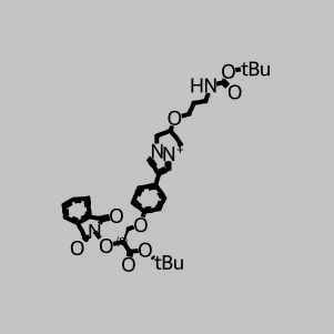 CC(C)(C)OC(=O)NCCCOC1Cn2cc(-c3ccc(OC[C@H](ON4C(=O)c5ccccc5C4=O)C(=O)OC(C)(C)C)cc3)c[n+]2C1